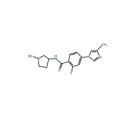 Cc1cn(-c2ccc(C(=O)NC3CCN(C#N)C3)c(F)c2)cn1